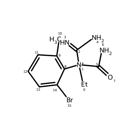 CC[N+](C(=N)N)(C(N)=O)c1c(C)cccc1Br